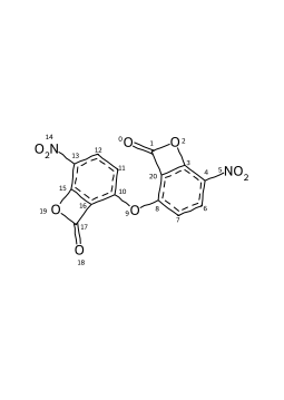 O=C1Oc2c([N+](=O)[O-])ccc(Oc3ccc([N+](=O)[O-])c4c3C(=O)O4)c21